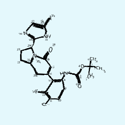 CC(C)(C)OC(=O)Nc1ccc(Cl)c(F)c1C1=CC(=O)N2C(CC[C@H]2c2ncc(I)[nH]2)C1